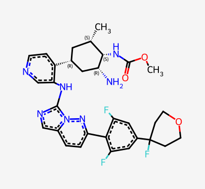 COC(=O)N[C@@H]1[C@H](N)C[C@H](c2ccncc2Nc2ncc3ccc(-c4c(F)cc(C5(F)CCOCC5)cc4F)nn23)C[C@@H]1C